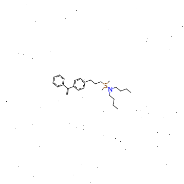 C=C(c1ccccc1)c1ccc(CCCS(C)(C)N(CCCC)CCCC)cc1